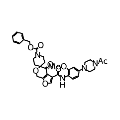 COc1cc(N2CCN(C(C)=O)CC2)ccc1NC(=O)c1coc2c1C(=O)C1(CCN(C(=O)OCc3ccccc3)CC1)OC2